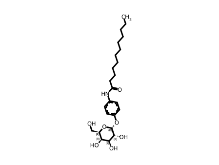 CCCCCCCCCCCC(=O)Nc1ccc(O[C@H]2O[C@H](CO)[C@H](O)[C@H](O)[C@H]2O)cc1